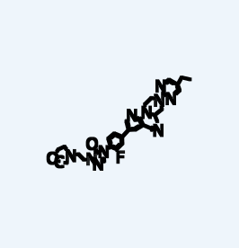 CCc1cnc(N2CCN(c3ncc(-c4ccc(-n5cnn(CCN6CCOCC6)c5=O)c(F)c4)cc3C#N)C(C)C2)nc1